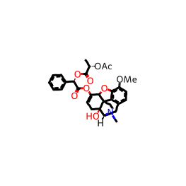 COc1ccc2c3c1OC1C(OC(=O)[C@@H](OC(=O)[C@H](C)OC(C)=O)c4ccccc4)=CC[C@@]4(O)[C@@H](C2)N(C)CCC314